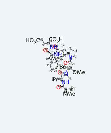 CC[C@H](C)[C@@H]([C@@H](CC(=O)N1CCC[C@H]1[C@H](OC)[C@@H](C)C(=O)N[C@@H](Cc1ccccc1)C(=O)NC(CCC(=O)O)C(=O)O)OC)N(C)C(=O)[C@@H](NC(=O)[C@@H](NC)C(C)C)C(C)C